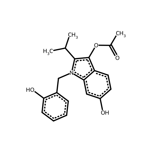 CC(=O)Oc1c(C(C)C)n(Cc2ccccc2O)c2cc(O)ccc12